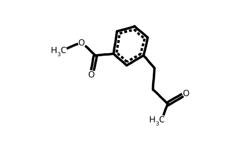 COC(=O)c1cccc(CCC(C)=O)c1